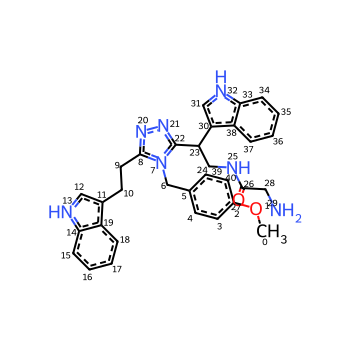 COc1ccc(Cn2c(CCc3c[nH]c4ccccc34)nnc2C(CNC(=O)CN)c2c[nH]c3ccccc23)cc1